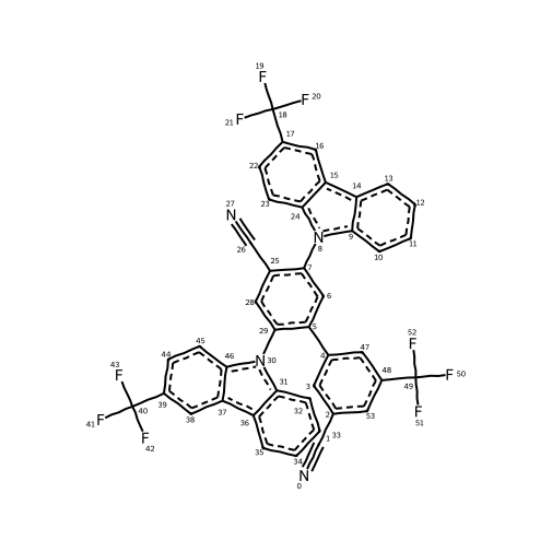 N#Cc1cc(-c2cc(-n3c4ccccc4c4cc(C(F)(F)F)ccc43)c(C#N)cc2-n2c3ccccc3c3cc(C(F)(F)F)ccc32)cc(C(F)(F)F)c1